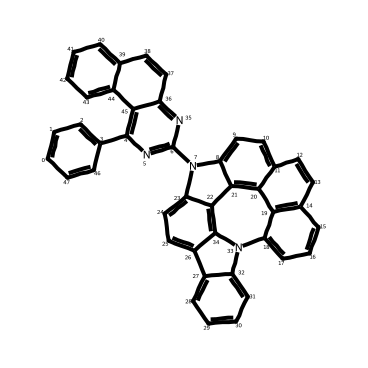 c1ccc(-c2nc(-n3c4ccc5ccc6cccc7c6c5c4c4c3ccc3c5ccccc5n7c34)nc3ccc4ccccc4c23)cc1